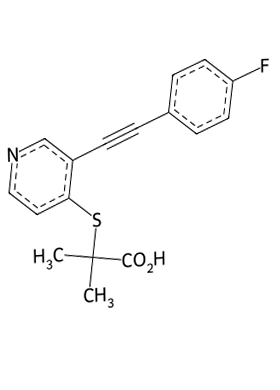 CC(C)(Sc1ccncc1C#Cc1ccc(F)cc1)C(=O)O